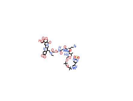 CCN(CCc1c2c(nc3cc4c(cc13)OCO4)-c1cc3c(c(=O)n1C2)COC(=O)[C@]3(O)CC)C(=O)COCNC(=O)CNC(=O)[C@H](CCCCN(C)C)NC(=O)[C@@H](NC(=O)COCC(C)(C)COCC(C)(C)Cn1cc(-c2cnc(S(C)(=O)=O)nc2)nn1)C(C)C